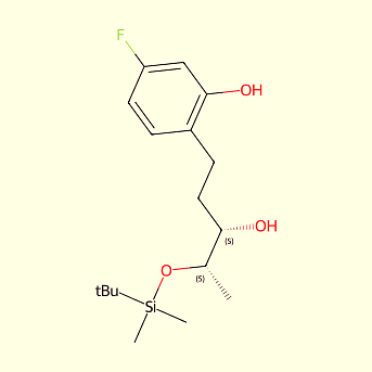 C[C@H](O[Si](C)(C)C(C)(C)C)[C@@H](O)CCc1ccc(F)cc1O